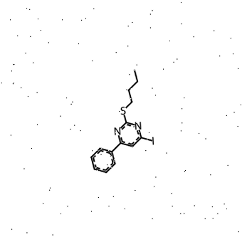 CCCCSc1nc(I)cc(-c2ccccc2)n1